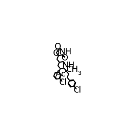 CC(=O)C(C)(CCc1ccc(Cl)cc1)C1NCC(CC2OC(=O)NC2=O)CC1c1cccc(Cl)c1